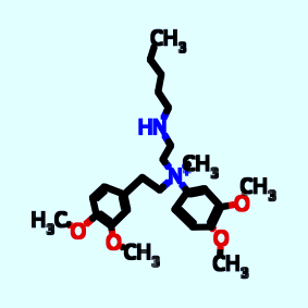 CCCCCNCC[N+](C)(CCc1ccc(OC)c(OC)c1)c1ccc(OC)c(OC)c1